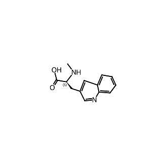 CN[C@@H](Cc1cnc2ccccc2c1)C(=O)O